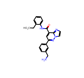 NCc1cccc(-c2cc(C(=O)Nc3ccccc3CC(=O)O)c3nccn3n2)c1